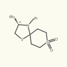 CC(C)N1[C@H](C(C)(C)C)CSC12CCS(=O)(=O)CC2